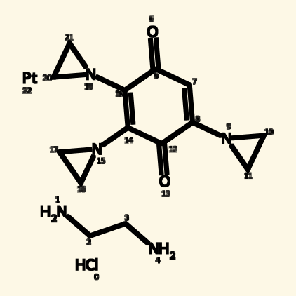 Cl.NCCN.O=C1C=C(N2CC2)C(=O)C(N2CC2)=C1N1CC1.[Pt]